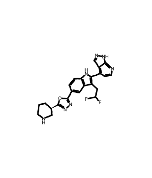 FC(F)Cc1c(-c2ccnc3[nH]ncc23)[nH]c2ccc(-c3nnc([C@@H]4CCCNC4)o3)cc12